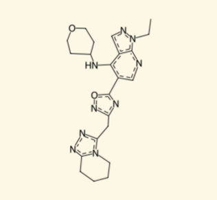 CCn1ncc2c(NC3CCOCC3)c(-c3nc(Cc4nnc5n4CCCC5)no3)cnc21